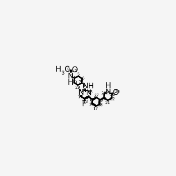 CC(=O)N[C@H]1CC[C@H](Nc2ncc(F)c(-c3cccc(C4CCC(=O)NC4)c3)n2)CC1